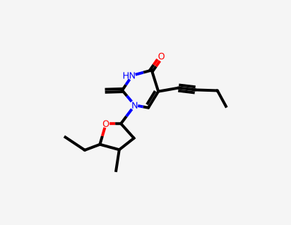 C=C1NC(=O)C(C#CCC)=CN1C1CC(C)C(CC)O1